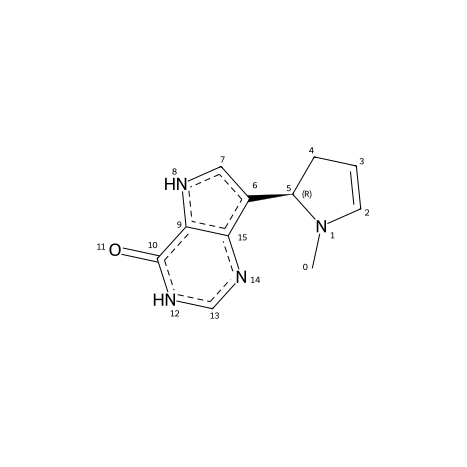 CN1C=CC[C@@H]1c1c[nH]c2c(=O)[nH]cnc12